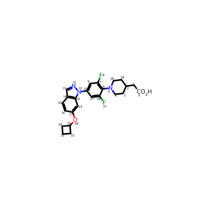 O=C(O)CC1CCN(c2c(F)cc(-n3ncc4ccc(OC5CCC5)cc43)cc2F)CC1